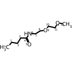 CCCCC(=O)NCCOCCOC